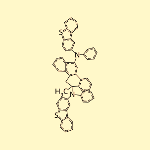 CC1(N(c2ccccc2)c2ccc3sc4ccccc4c3c2)Cc2c(cc(N(c3ccccc3)c3ccc4sc5ccccc5c4c3)c3ccccc23)-c2ccccc21